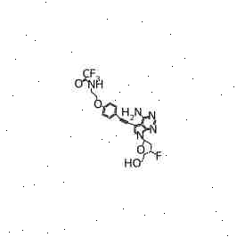 Nc1ncnc2c1c(C#Cc1ccc(OCCNC(=O)C(F)(F)F)cc1)cn2C1CC(F)C(CO)O1